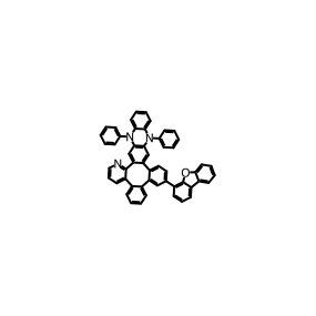 c1ccc(-n2c3ccccc3n(-c3ccccc3)c3cc4c(cc32)c2ccc(-c3cccc5c3oc3ccccc35)cc2c2ccccc2c2cccnc24)cc1